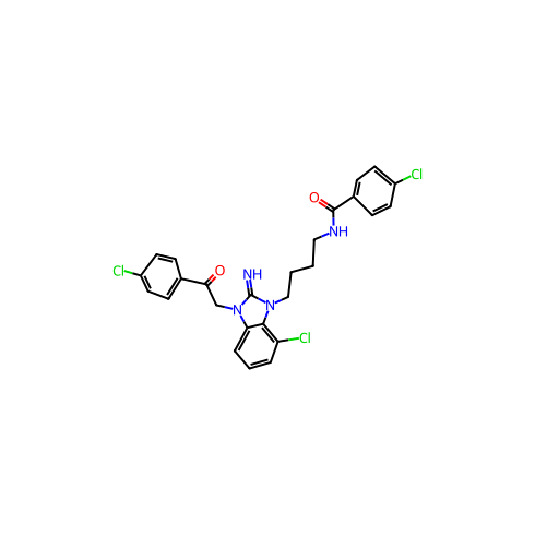 N=c1n(CC(=O)c2ccc(Cl)cc2)c2cccc(Cl)c2n1CCCCNC(=O)c1ccc(Cl)cc1